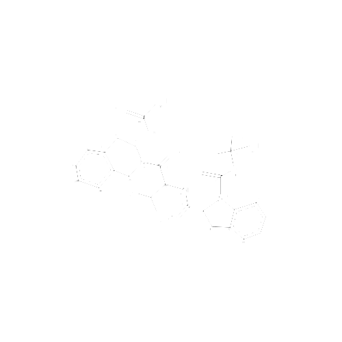 CC(C)C(NC(=O)[C@H]1Cc2ccccc2N1C(=O)OC(C)(C)C)C(=O)N1Cc2ccccc2C[C@@H]1CC(=O)O